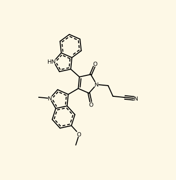 COc1ccc2c(c1)c(C1=C(c3c[nH]c4ccccc34)C(=O)N(CCC#N)C1=O)cn2C